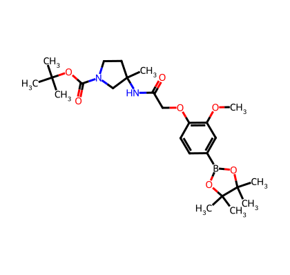 COc1cc(B2OC(C)(C)C(C)(C)O2)ccc1OCC(=O)NC1(C)CCN(C(=O)OC(C)(C)C)C1